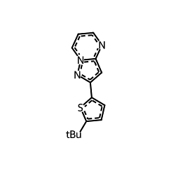 CC(C)(C)c1ccc(-c2cc3ncccn3n2)s1